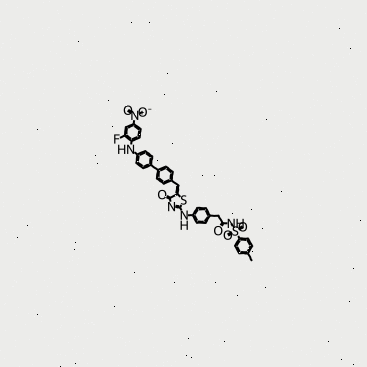 Cc1ccc(S(=O)(=O)NC(=O)Cc2ccc(NC3=NC(=O)/C(=C\c4ccc(-c5ccc(Nc6ccc([N+](=O)[O-])cc6F)cc5)cc4)S3)cc2)cc1